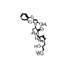 CC(C)C[C@H](C(=O)Nc1ccn(C[C@@H](O)CO)n1)N1CC(Oc2ccccc2Cl)=CC1O